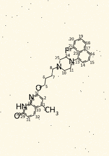 Cc1cc(OCCCCN2CCN(c3cccc4cccc(F)c34)CC2)nc2[nH]c(=O)ccc12